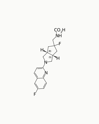 O=C(O)NCC1(F)C[C@H]2CN(c3ccc4cc(F)ccc4n3)C[C@H]2C1